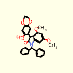 COc1cc(OC)c2c(c1)N(C(c1ccccc1)c1ccccc1)C(=O)C2c1cc2c(cc1O)OCCO2